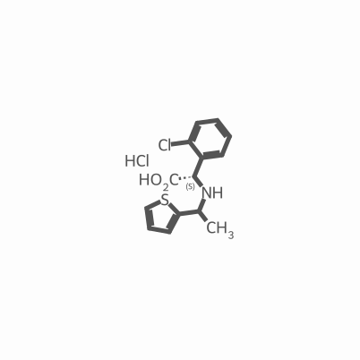 CC(N[C@H](C(=O)O)c1ccccc1Cl)c1cccs1.Cl